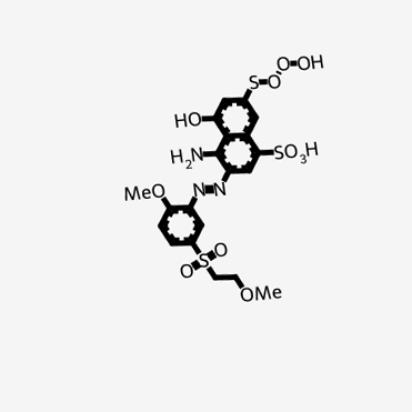 COCCS(=O)(=O)c1ccc(OC)c(N=Nc2cc(S(=O)(=O)O)c3cc(SOOO)cc(O)c3c2N)c1